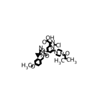 COc1ccc(CN(C2(C#N)CC2)S(=O)(=O)c2cc(N3CCN(C(=O)C(C)C)CC3)n3c(Cl)nc(C(=O)O)c3c2)cc1